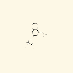 CN(C)Cc1cc(B2OC(C)(C)C(C)(C)O2)cc2c1OCCO2